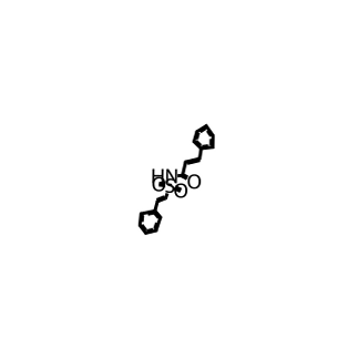 O=C(/C=C/c1ccccc1)NS(=O)(=O)/C=C/c1ccccc1